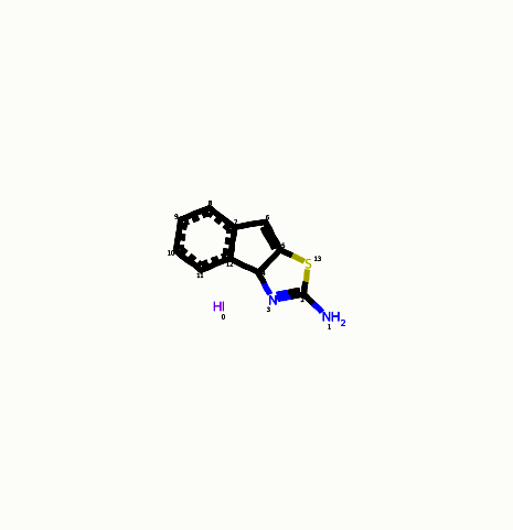 I.NC1=NC2C(=Cc3ccccc32)S1